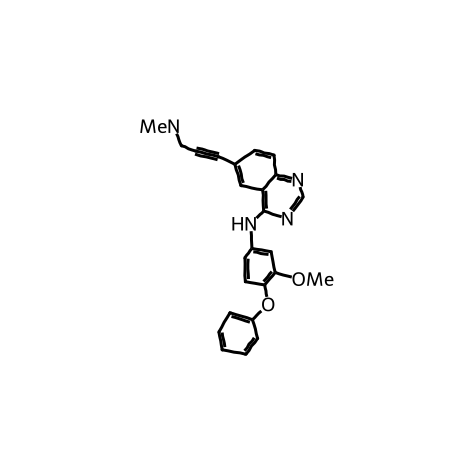 CNCC#Cc1ccc2ncnc(Nc3ccc(Oc4ccccc4)c(OC)c3)c2c1